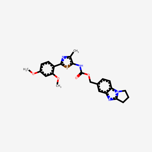 COc1ccc(-c2nc(C)c(NC(=O)OCc3ccc4c(c3)nc3n4CCC3)s2)c(OC)c1